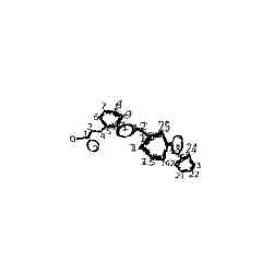 CC(=O)CCc1ccccc1OCc1cccc(Oc2ccccc2)c1